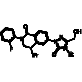 CCn1c(CO)nn(-c2ccc3c(c2)C(C(C)C)CN(c2ccccc2F)C3=O)c1=O